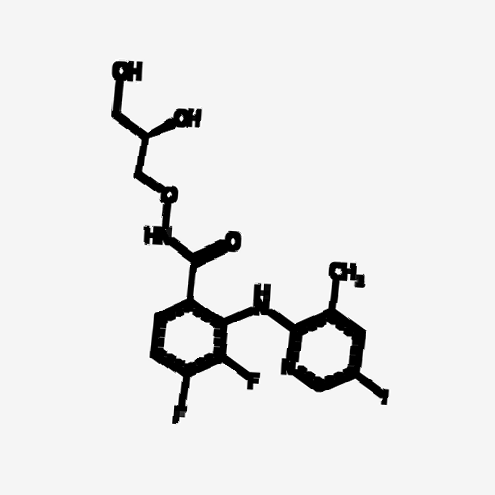 Cc1cc(I)cnc1Nc1c(C(=O)NOC[C@H](O)CO)ccc(F)c1F